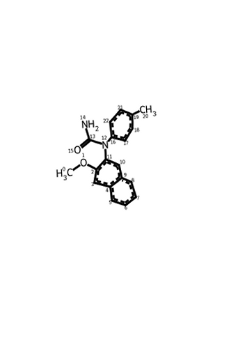 COc1cc2ccccc2cc1N(C(N)=O)c1ccc(C)cc1